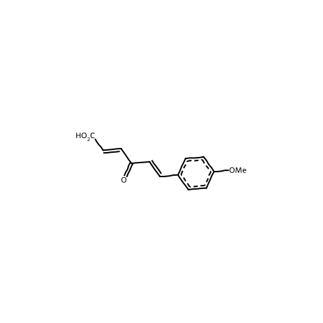 COc1ccc(C=CC(=O)C=CC(=O)O)cc1